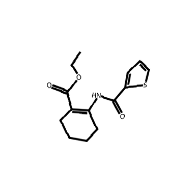 CCOC(=O)C1=C(NC(=O)c2cccs2)CCCC1